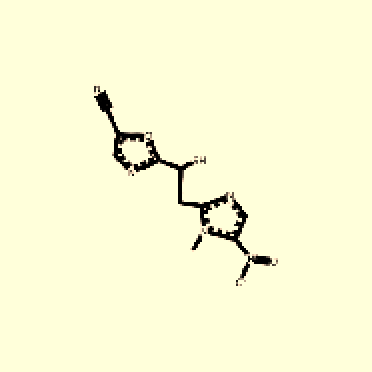 Cn1c([N+](=O)[O-])cnc1CC(S)c1ncc(C#N)o1